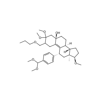 CCCOCC1CC2=C3[C@@H](CC[C@@]2(O)CC1(OC)OC)[C@@H]1CC[C@@H](OC)[C@@]1(C)C[C@@H]3c1ccc(C(OC)OC)cc1